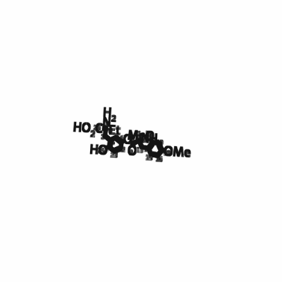 CC[C@](N)(Cc1cc(OC(=O)[C@@](C)(N)Cc2ccc(OC)cc2OC)ccc1O)C(=O)O